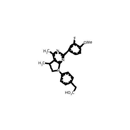 COc1ccc(-c2nc(C)c3c(n2)N(c2ccc(CC(=O)O)cc2)CC3C)cc1F